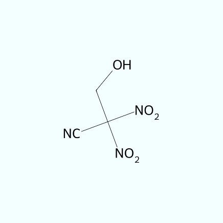 N#CC(CO)([N+](=O)[O-])[N+](=O)[O-]